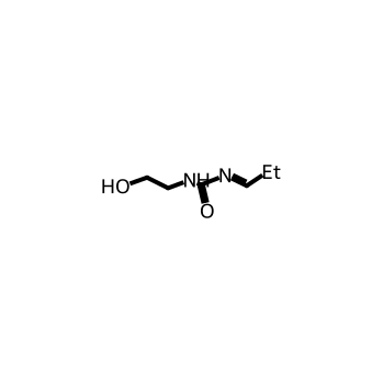 CCC=NC(=O)NCCO